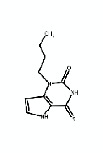 CCCCn1c(=O)[nH]c(=S)c2[nH]ccc21